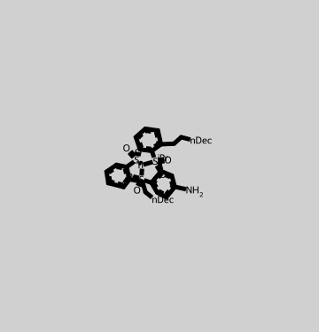 CCCCCCCCCCCCc1ccccc1[S](=O)(=O)[Ti]([S](=O)(=O)c1ccccc1CCCCCCCCCCCC)[S](=O)(=O)c1ccc(N)cc1C(C)C